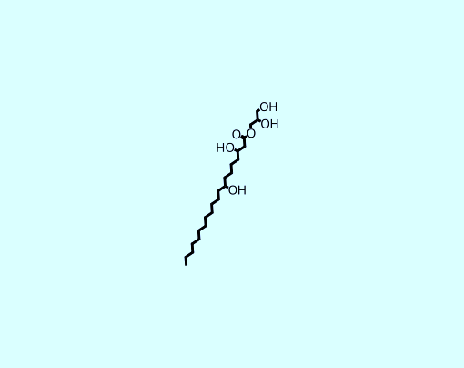 CCCCCCCCCCCCC(O)CCCCC(O)CC(=O)OCC(O)CO